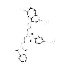 COc1ccc(S(=O)(=O)N(CCCN2C(=O)c3ccccc3C2=O)CCNc2cc(C)nc3ccc(Cl)cc23)cc1